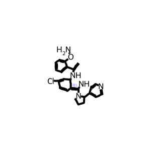 C=C(NC1C=C(Cl)C=C/C1=C(/N)N1CCCC1c1ccncc1)c1ccccc1ON